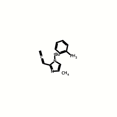 C.C=C=Cc1nccn1C(C)(C)C.Pc1ccccc1